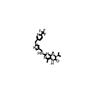 Cc1nc(NCc2cnn(Cc3ccc(C(F)(F)F)nc3)c2)nc2c1NC(=O)[C@H](C(C)C)N2C